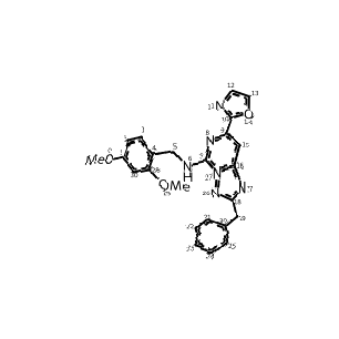 COc1ccc(CNc2nc(-c3ncco3)cc3nc(Cc4ccccc4)nn23)c(OC)c1